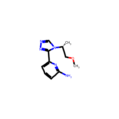 COC[C@@H](C)n1cnnc1-c1cccc(N)n1